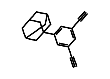 C#Cc1cc(C#C)cc(C23C[C]4CC(CC(C4)C2)C3)c1